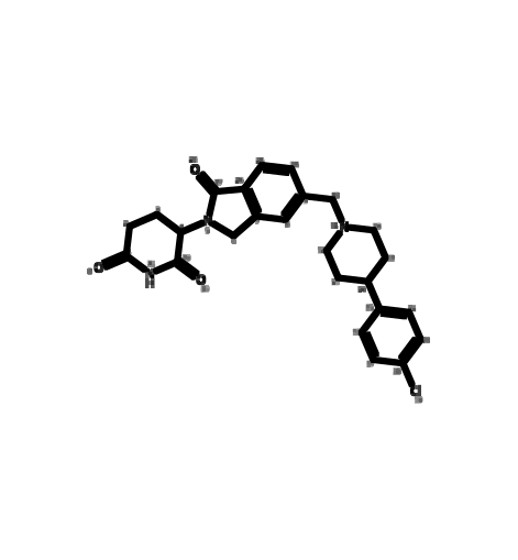 O=C1CCC(N2Cc3cc(CN4CCC(c5ccc(Cl)cc5)CC4)ccc3C2=O)C(=O)N1